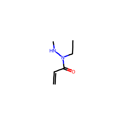 C=CC(=O)N(CC)NC